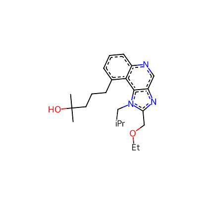 CCOCc1nc2cnc3cccc(CCCC(C)(C)O)c3c2n1CC(C)C